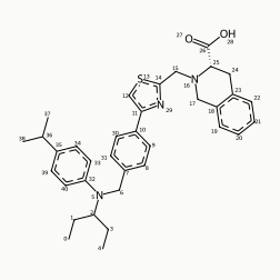 CCC(CC)N(Cc1ccc(-c2csc(CN3Cc4ccccc4C[C@H]3C(=O)O)n2)cc1)c1ccc(C(C)C)cc1